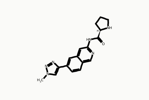 Cn1cc(-c2ccc3cnc(NC(=O)[C@H]4CCCN4)cc3c2)nn1